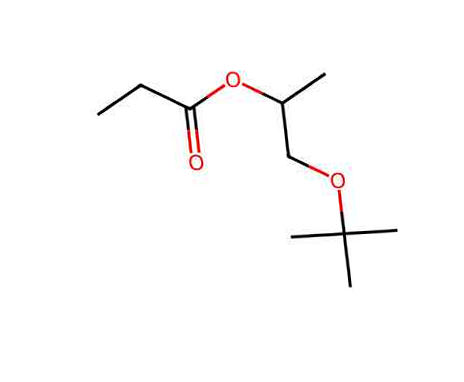 CCC(=O)OC(C)COC(C)(C)C